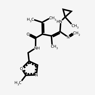 C=N/C(NC1(C)CC1)=C(\C)C(C(=O)NCc1cnc(C)o1)=C(C)C